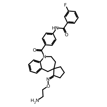 NCCON=C1CCCC12CCN(C(=O)c1ccc(NC(=O)c3cccc(F)c3)cc1)c1ccccc1C2